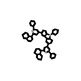 c1ccc(-c2cc(-c3ccc4c(c3)c3cc(-c5cc(-c6ccccc6)nc(-c6cccc7ccccc67)c5)ccc3n4-c3ccccc3)cc(-c3cccc4ccccc34)n2)cc1